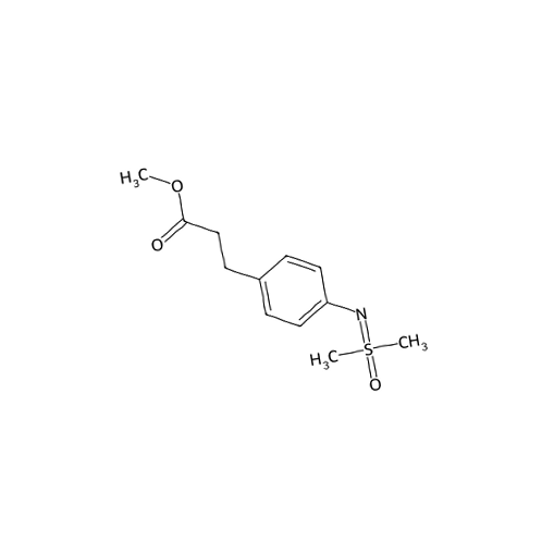 COC(=O)CCc1ccc(N=S(C)(C)=O)cc1